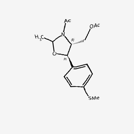 CSc1ccc([C@H]2OC(C)N(C(C)=O)[C@@H]2COC(C)=O)cc1